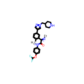 CC/N=C(/C(=O)Nc1ccc(OC(F)F)cc1)c1cc(-c2cnn(CC3CCNCC3)c2)ccc1C